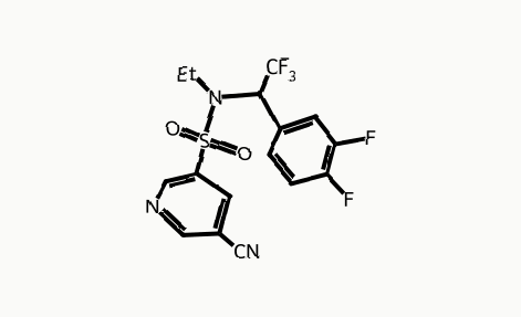 CCN(C(c1ccc(F)c(F)c1)C(F)(F)F)S(=O)(=O)c1cncc(C#N)c1